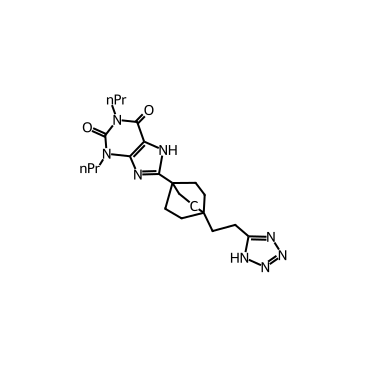 CCCn1c(=O)c2[nH]c(C34CCC(CCc5nnn[nH]5)(CC3)CC4)nc2n(CCC)c1=O